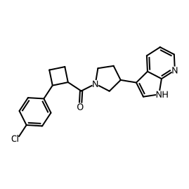 O=C(C1CCC1c1ccc(Cl)cc1)N1CCC(c2c[nH]c3ncccc23)C1